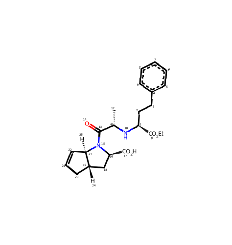 CCOC(=O)[C@H](CCc1ccccc1)N[C@@H](C)C(=O)N1[C@@H](C(=O)O)C[C@@H]2CC=C[C@H]21